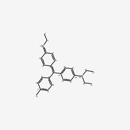 CCN=C1C=CC(=C(c2ccc(C)cc2)c2ccc(N(CC)CC)cc2)C=C1